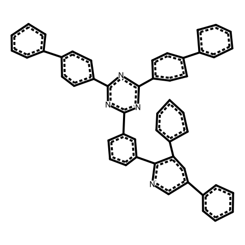 c1ccc(-c2ccc(-c3nc(-c4ccc(-c5ccccc5)cc4)nc(-c4cccc(-c5ncc(-c6ccccc6)cc5-c5ccccc5)c4)n3)cc2)cc1